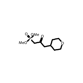 COP(=O)(CC(=O)CC1CCOCC1)OC